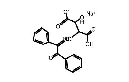 O=C(C(=O)c1ccccc1)c1ccccc1.O=C([O-])C(O)C(O)C(=O)O.[Na+]